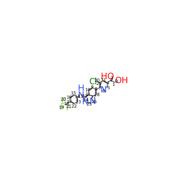 OC[C@H](O)c1cnc(-c2ccc3c(Nc4ccc(C(F)(F)F)cc4)ncnc3c2)c(Cl)c1